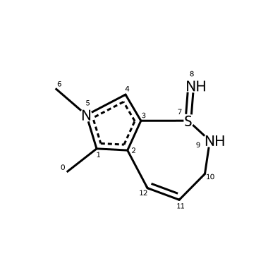 Cc1c2c(cn1C)S(=N)NCC=C2